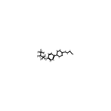 CCCCC1CCC(c2ccc(OC(F)(F)C(F)C(F)(F)F)cc2)CC1